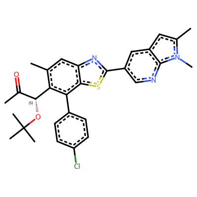 CC(=O)[C@@H](OC(C)(C)C)c1c(C)cc2nc(-c3cnc4c(c3)cc(C)n4C)sc2c1-c1ccc(Cl)cc1